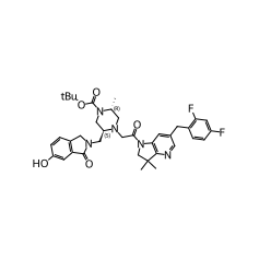 C[C@@H]1CN(CC(=O)N2CC(C)(C)c3ncc(Cc4ccc(F)cc4F)cc32)[C@@H](CN2Cc3ccc(O)cc3C2=O)CN1C(=O)OC(C)(C)C